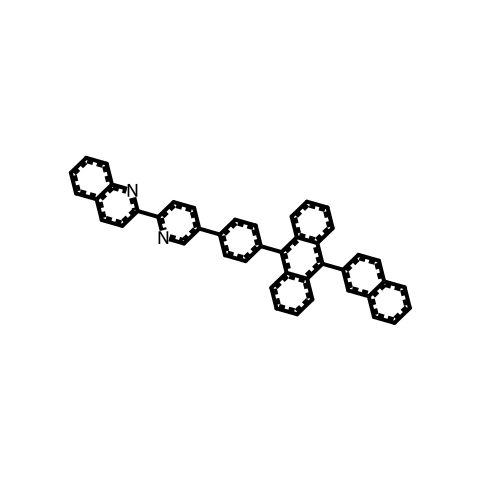 c1ccc2cc(-c3c4ccccc4c(-c4ccc(-c5ccc(-c6ccc7ccccc7n6)nc5)cc4)c4ccccc34)ccc2c1